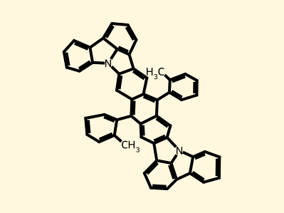 Cc1ccccc1-c1c2cc3c4cccc5c6ccccc6n(c3cc2c(-c2ccccc2C)c2cc3c6cccc7c8ccccc8n(c3cc12)c76)c54